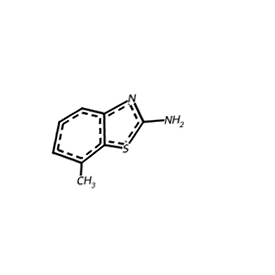 Cc1cccc2nc(N)sc12